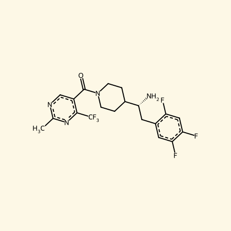 Cc1ncc(C(=O)N2CCC([C@H](N)Cc3cc(F)c(F)cc3F)CC2)c(C(F)(F)F)n1